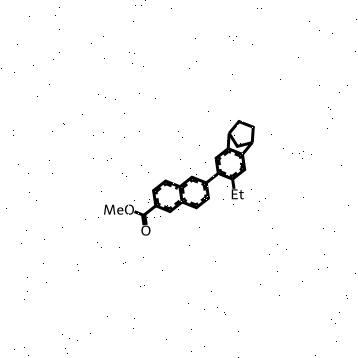 CCc1cc2c(cc1-c1ccc3cc(C(=O)OC)ccc3c1)C1CCC2C1